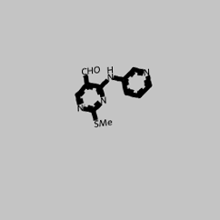 CSc1ncc(C=O)c(Nc2cccnc2)n1